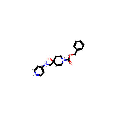 O=C(OCc1ccccc1)N1CCC(O)(CNc2ccncc2)CC1